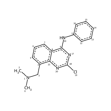 CN(C)Cc1cccc2c(Nc3ccccc3)nc(Cl)nc12